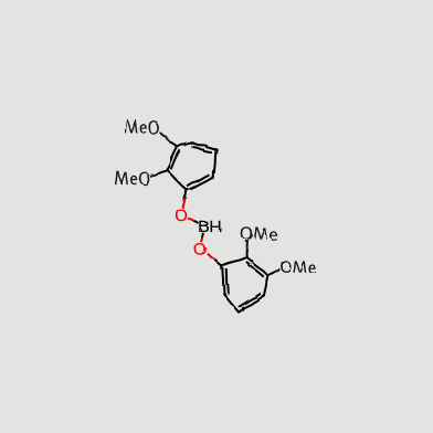 COc1cccc(OBOc2cccc(OC)c2OC)c1OC